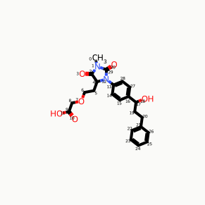 CN1C(=O)C(CCOCC(=O)O)N(c2ccc(C(O)CCc3ccccc3)cc2)C1=O